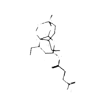 CCC1CC[C@@]2(C)OO[C@@]13C(CC)[C@@H](C)[C@H](OC(=O)CCC(=O)O)O[C@@H]3O2